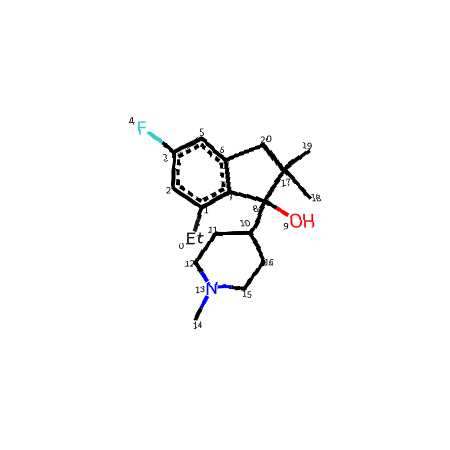 CCc1cc(F)cc2c1C(O)(C1CCN(C)CC1)C(C)(C)C2